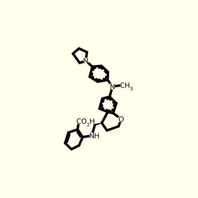 CN(c1ccc(N2CCCC2)cc1)c1ccc2c(c1)OCC[C@H]2CNC1=C(C(=O)O)C=CCC1